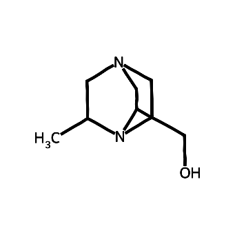 CC1CN2CCN1C(CO)C2